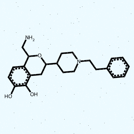 NCC1OC(C2CCN(CCc3ccccc3)CC2)Cc2c1ccc(O)c2O